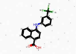 O=C(O)c1ccc(Nc2cccc(C(F)(F)F)c2)c2ccccc12